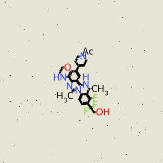 CC(=O)N1CC=C(c2cc3c(N[C@H](C)c4cccc(C(F)(F)CO)c4F)nc(C)nc3c3c2OCCN3)CC1